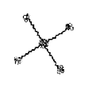 CO[Si](CCCCCCCCCCCCC[Si]1(C)O[Si](C)(CCCCCCCCCCCCC[Si](OC)(OC)OC)O[Si](C)(CCCCCCCCCCCCC[Si](OC)(OC)OC)O[Si](C)(CCCCCCCCCCCCC[Si](OC)(OC)OC)O1)(OC)OC